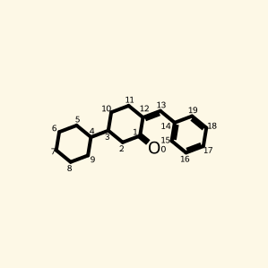 O=C1CC(C2CCCCC2)CCC1=Cc1ccccc1